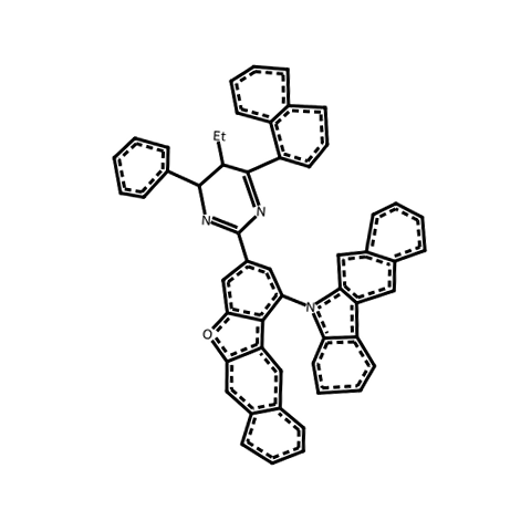 CCC1C(c2cccc3ccccc23)=NC(c2cc(-n3c4ccccc4c4cc5ccccc5cc43)c3c(c2)oc2cc4ccccc4cc23)=NC1c1ccccc1